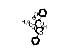 CO[C@@H]1[C@@H](OC)[C@@H]2C[C@H](c3ccccc3)OC[C@H]2O[C@H]1c1ccccc1